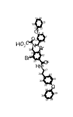 O=C(O)C(=O)N(Cc1cccc(Oc2ccccc2)c1)Cc1c(Br)cc(C(=O)NCCc2ccc(Oc3ccccc3)cc2)cc1Br